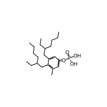 CCCCC(CC)Cc1cccc(C)c1CC(CC)CCCC.O=P(O)(O)O